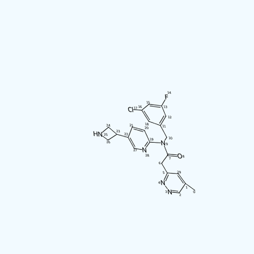 Cc1cnnc(CC(=O)N(Cc2cc(F)cc(Cl)c2)c2ccc(C3CNC3)cn2)c1